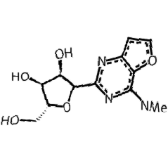 CNc1nc(C2O[C@H](CO)[C@@H](O)[C@H]2O)nc2ccoc12